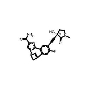 CN1CC[C@](O)(C#Cc2cc3c(cc2F)C2=CC(C2)n2cc(C(N)=O)nc2-3)C1=O